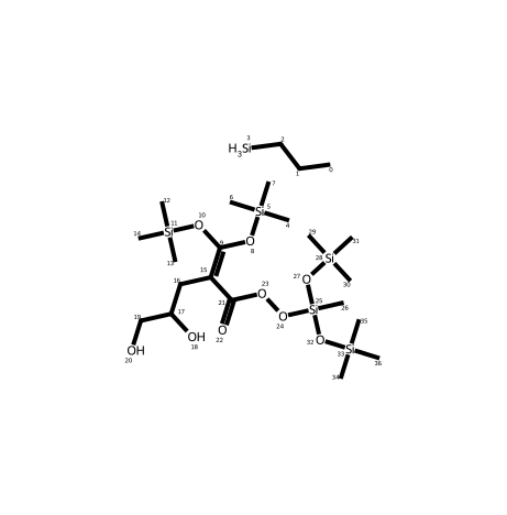 CCC[SiH3].C[Si](C)(C)OC(O[Si](C)(C)C)=C(CC(O)CO)C(=O)OO[Si](C)(O[Si](C)(C)C)O[Si](C)(C)C